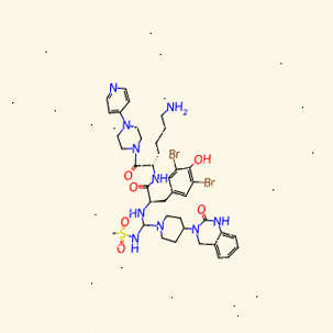 CS(=O)(=O)NC(N[C@H](Cc1cc(Br)c(O)c(Br)c1)C(=O)N[C@@H](CCCCN)C(=O)N1CCN(c2ccncc2)CC1)N1CCC(N2Cc3ccccc3NC2=O)CC1